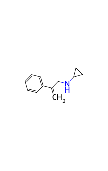 C=C(CNC1CC1)c1ccccc1